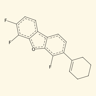 Fc1ccc2c(oc3c(F)c(C4=CCCCC4)ccc32)c1F